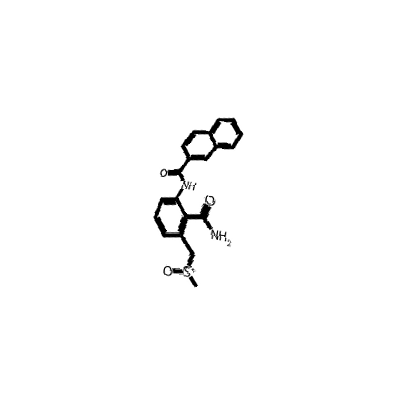 C[S+]([O-])Cc1cccc(NC(=O)c2ccc3ccccc3c2)c1C(N)=O